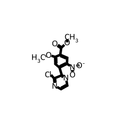 COC(=O)c1cc([N+](=O)[O-])c(-c2nccnc2Cl)cc1OC